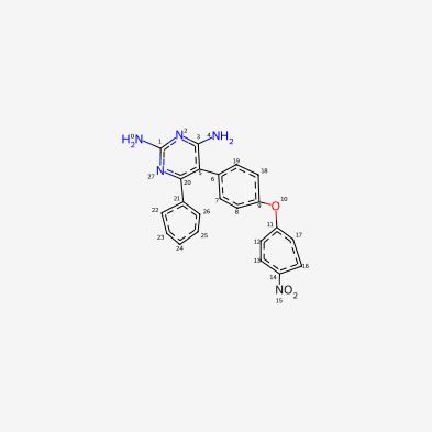 Nc1nc(N)c(-c2ccc(Oc3ccc([N+](=O)[O-])cc3)cc2)c(-c2ccccc2)n1